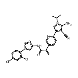 C=C(C(=O)Nc1cc(-c2ccc(Cl)cc2Cl)no1)c1ccc(-c2nn(C(C)C)c(N)c2C#N)nc1